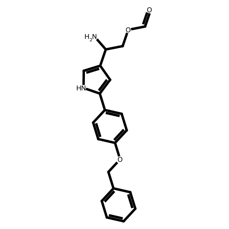 NC(COC=O)c1c[nH]c(-c2ccc(OCc3ccccc3)cc2)c1